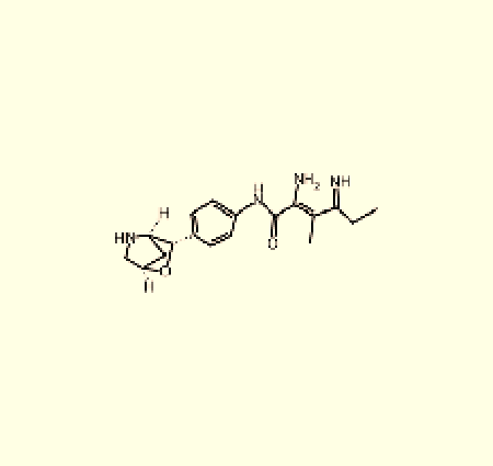 CCC(=N)/C(C)=C(\N)C(=O)Nc1ccc([C@@H]2O[C@H]3CN[C@@H]2C3)cc1